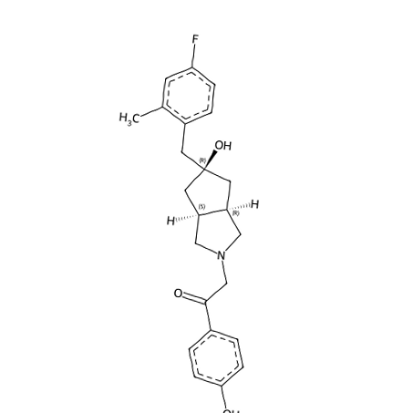 Cc1cc(F)ccc1C[C@]1(O)C[C@H]2CN(CC(=O)c3ccc(O)cc3)C[C@H]2C1